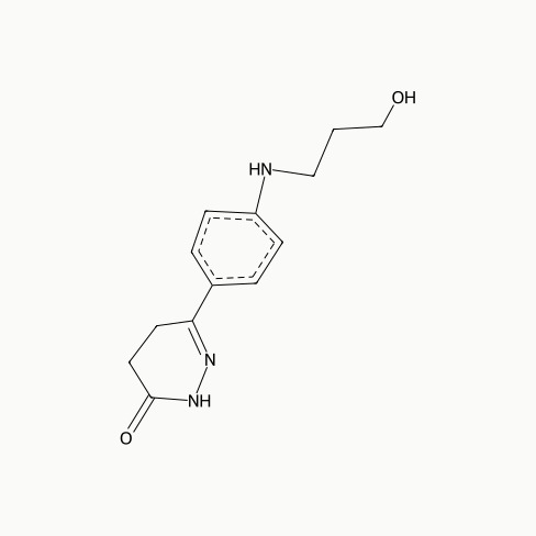 O=C1CCC(c2ccc(NCCCO)cc2)=NN1